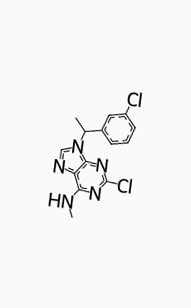 CNc1nc(Cl)nc2c1ncn2C(C)c1cccc(Cl)c1